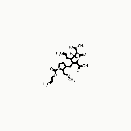 C=CCOC(=O)N1CCC(CC2=C(C(=O)O)N3C(=O)[C@H]([C@@H](C)O)[C@H]3C2CC=C)C1COC